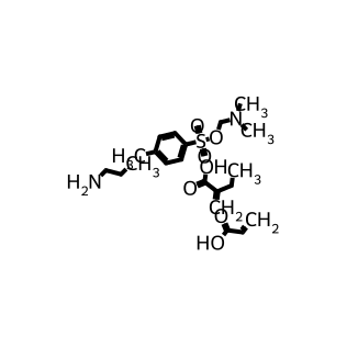 C=C(CC)C(=O)O.C=CC(=O)O.CCCN.Cc1ccc(S(=O)(=O)OCN(C)C)cc1